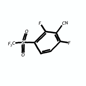 N#Cc1c(F)ccc(S(=O)(=O)C(F)(F)F)c1F